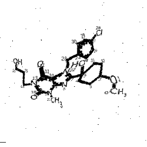 COC1CCC(O)(c2nc3c(c(=O)n(CCCO)c(=O)n3C)n2Cc2ccc(Cl)cc2)CC1